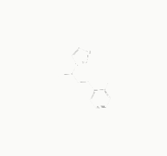 CCc1ccccc1CCC(C)[n+]1cc[nH]c1.[I-]